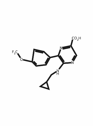 O=C(O)c1cnc(NCC2CC2)c(-c2ccc(OC(F)(F)F)cc2)n1